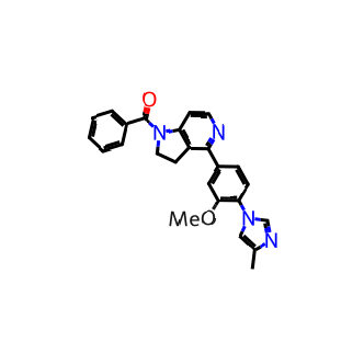 COc1cc(-c2nccc3c2CCN3C(=O)c2ccccc2)ccc1-n1cnc(C)c1